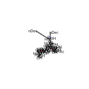 CCCCCCCCCCCCC/C=C/[C@@H](O)[C@H](CO[C@@H]1OC(CO)[C@@H](O[C@@H]2OC(CO)[C@H](O[C@@H]3OC(CO)[C@H](O)[C@H](O[C@@H]4OC(CO)[C@H](O)[C@H](O[C@]5(C(=O)O)CC(O)[C@@H](NC(=O)CO)C([C@H](O)[C@H](O)CO)O5)C4O)C3NC(C)=O)[C@H](O[C@]3(C(=O)O)CC(O)[C@@H](NC(C)=O)C([C@H](O)[C@H](O)CO)O3)C2O)[C@H](O)C1O)NC(=O)CCCCCCCCCCCCCCCCCCCCCCC